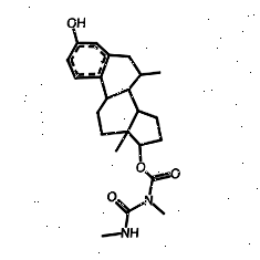 CNC(=O)N(C)C(=O)OC1CCC2C3C(C)Cc4cc(O)ccc4C3CCC12C